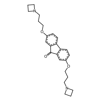 O=C1c2cc(OCCCN3CCC3)ccc2-c2ccc(OCCCN3CCC3)cc21